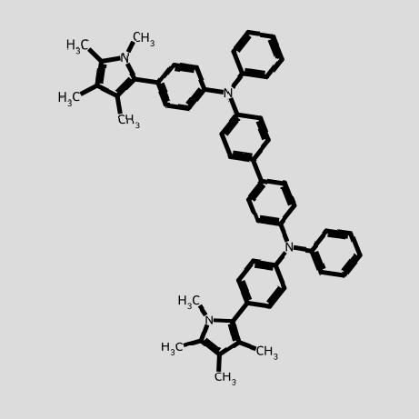 Cc1c(C)c(-c2ccc(N(c3ccccc3)c3ccc(-c4ccc(N(c5ccccc5)c5ccc(-c6c(C)c(C)c(C)n6C)cc5)cc4)cc3)cc2)n(C)c1C